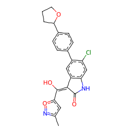 Cc1cc(/C(O)=C2\C(=O)Nc3cc(Cl)c(-c4ccc(C5CCCO5)cc4)cc32)on1